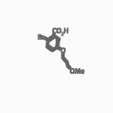 COCCCOc1ccc(Br)c(C(=O)O)c1